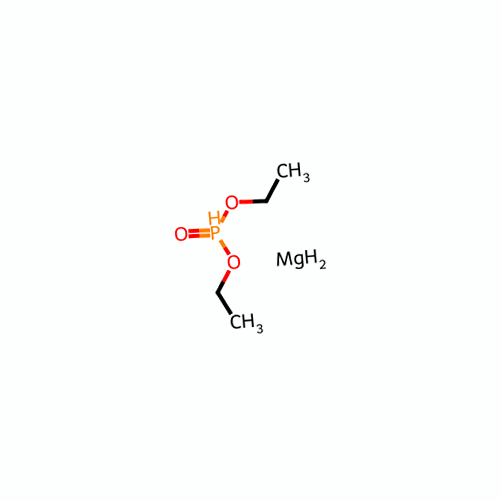 CCO[PH](=O)OCC.[MgH2]